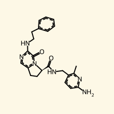 Cc1nc(N)ccc1CNC(=O)[C@H]1CCc2cnc(NCCc3ccccc3)c(=O)n21